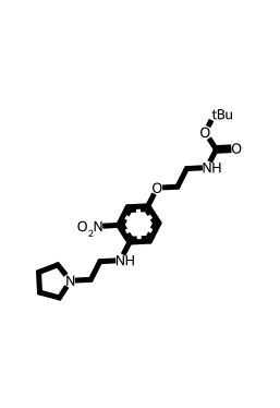 CC(C)(C)OC(=O)NCCOc1ccc(NCCN2CCCC2)c([N+](=O)[O-])c1